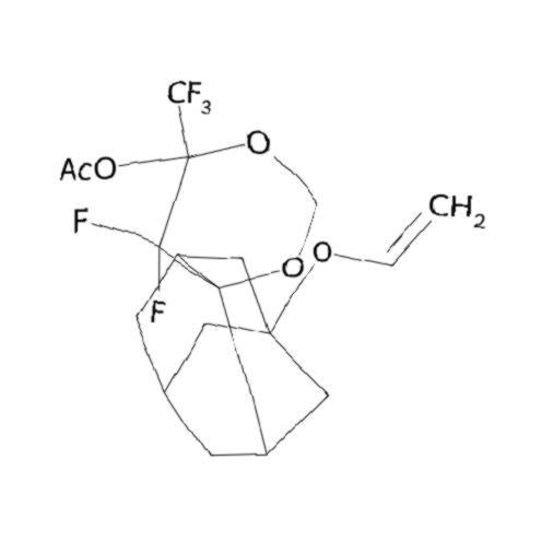 C=COC12CC3CC(C1)C1(OCOC(OC(C)=O)(C(F)(F)F)C1(F)F)C(C3)C2